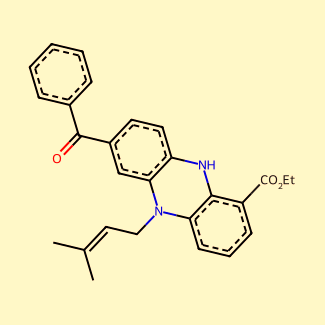 CCOC(=O)c1cccc2c1Nc1ccc(C(=O)c3ccccc3)cc1N2CC=C(C)C